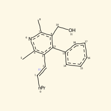 CCC/C=C/c1c(C)nc(C)c(CO)c1-c1ccccc1